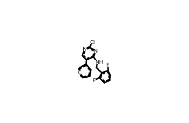 Fc1cccc(F)c1CNc1nc(Cl)ncc1-c1ccccc1